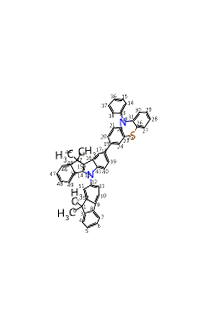 CC1(C)c2ccccc2-c2ccc(-n3c4c(c5cc(-c6ccc7c(c6)Sc6ccccc6N7c6ccccc6)ccc53)C(C)(C)c3ccccc3-4)cc21